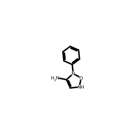 NC1=CNON1c1ccccc1